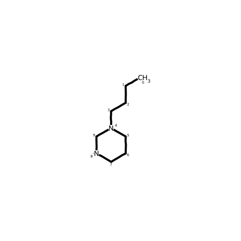 CCCCN1CCC[N]C1